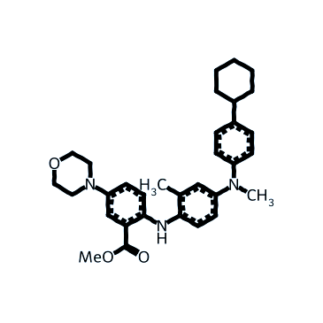 COC(=O)c1cc(N2CCOCC2)ccc1Nc1ccc(N(C)c2ccc(C3CCCCC3)cc2)cc1C